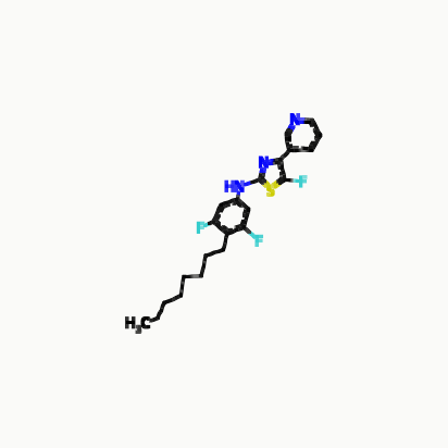 CCCCCCCCc1c(F)cc(Nc2nc(-c3cccnc3)c(F)s2)cc1F